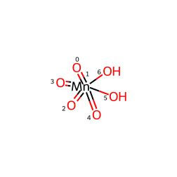 [O]=[Mn](=[O])(=[O])(=[O])([OH])[OH]